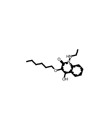 CCCCCCOc1c(O)c2ccccc2n(NCC)c1=O